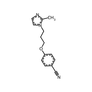 Cc1nccn1CCCOc1ccc(C#N)cc1